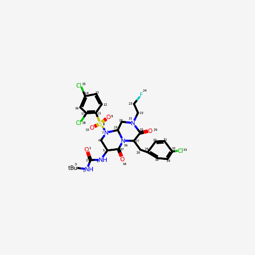 CC(C)(C)NC(=O)NC1CN(S(=O)(=O)c2ccc(Cl)cc2Cl)C2CN(CCF)C(=O)C(Cc3ccc(Cl)cc3)N2C1=O